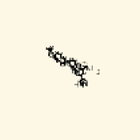 NC(=O)c1cc(-c2cn[nH]c2)cnc1O[C@H]1CCN(C(=O)Cc2ccc(OC3CC3)cn2)C[C@@H]1F